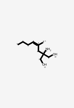 CCC/C=C(/F)CC(N)(CO)CO